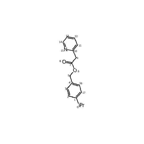 CC(C)c1ccc(COC(=O)Cc2ccccn2)cc1